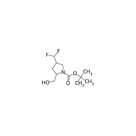 CC(C)(C)OC(=O)N1CC(C(F)F)CC1CO